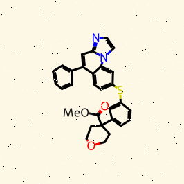 COC(=O)C1(c2cccc(Sc3ccc4c(-c5ccccc5)cc5nccn5c4c3)c2)CCOCC1